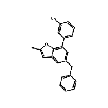 Cc1cc2cc(Cc3ccccc3)cc(-c3cccc(Cl)c3)c2o1